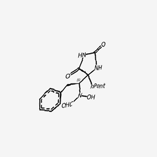 CCCCCC1([C@H](Cc2ccccc2)N(O)C=O)NC(=O)NC1=O